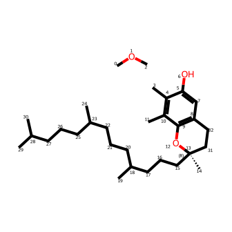 COC.Cc1c(O)cc2c(c1C)O[C@](C)(CCCC(C)CCCC(C)CCCC(C)C)CC2